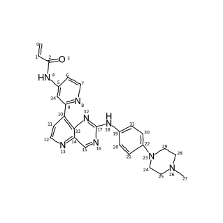 C=CC(=O)Nc1ccnc(-c2ccnc3cnc(Nc4ccc(N5CCN(C)CC5)cc4)nc23)c1